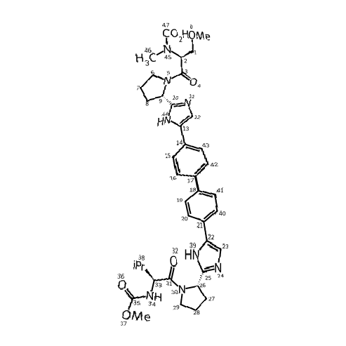 COC[C@@H](C(=O)N1CCC[C@H]1c1ncc(-c2ccc(-c3ccc(-c4cnc([C@@H]5CCCN5C(=O)[C@@H](NC(=O)OC)C(C)C)[nH]4)cc3)cc2)[nH]1)N(C)C(=O)O